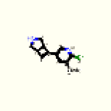 COc1cc(C2=CC3CNCC23)cnc1Br